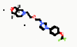 FC(F)Oc1ccc(N2C=CN(CCOCCN3CC[C@H]4COC[C@@H]4C3)C2)cc1